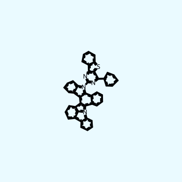 c1ccc(-c2nc(-n3c4ccccc4c4c5c6cccc7c8ccccc8n(c76)c5c5ccccc5c43)nc3c2sc2ccccc23)cc1